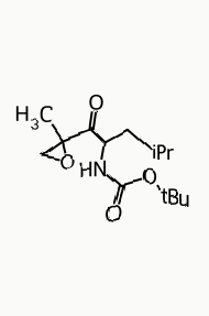 CC(C)CC(NC(=O)OC(C)(C)C)C(=O)C1(C)CO1